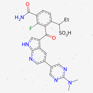 CCC(c1ccc(C(N)=O)c(F)c1C(=O)c1c[nH]c2ncc(-c3cnc(N(C)C)nc3)cc12)S(=O)(=O)O